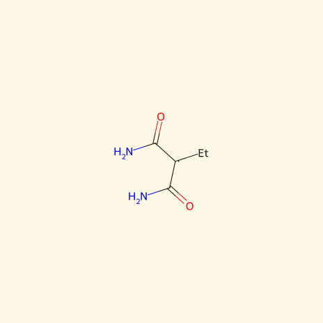 CC[C](C(N)=O)C(N)=O